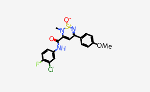 COc1ccc(C2=N[S+]([O-])N(C)C(C(=O)Nc3ccc(F)c(Cl)c3)=C2)cc1